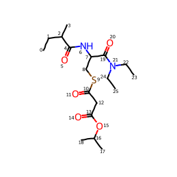 CCC(C)C(=O)NC(CSC(=O)CC(=O)OC(C)C)C(=O)N(CC)CC